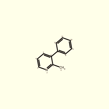 Cc1ncccc1-c1cc[c]cc1